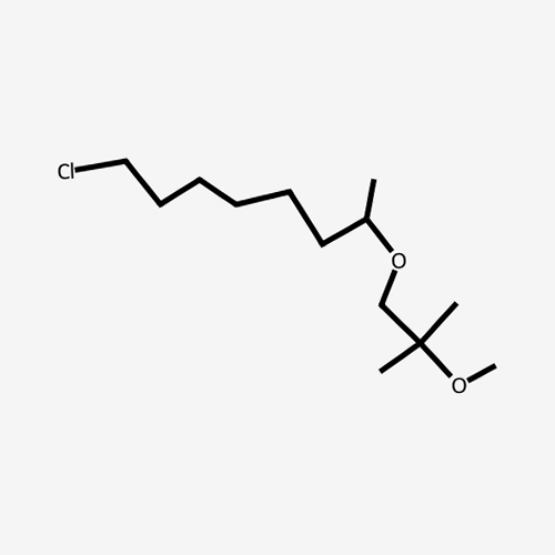 COC(C)(C)COC(C)CCCCCCCl